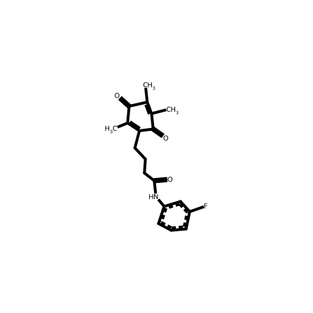 CC1=C(C)C(=O)C(CCCC(=O)Nc2cccc(F)c2)=C(C)C1=O